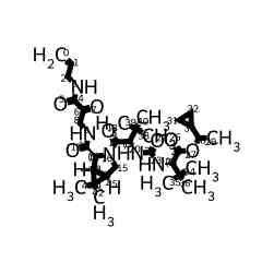 C=CCNC(=O)C(=O)CNC(=O)[C@@H]1[C@@H]2[C@H](CN1C(=O)[C@@H](NC(=O)N[C@H](C(=O)OC(C)C1CC1)C(C)(C)C)C(C)(C)C)C2(C)C